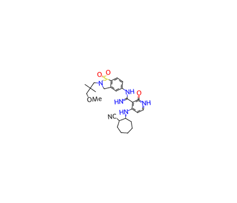 COCC(C)(C)CN1Cc2cc(NC(=N)c3c(N[C@H]4CCCCCC4C#N)cc[nH]c3=O)ccc2S1(=O)=O